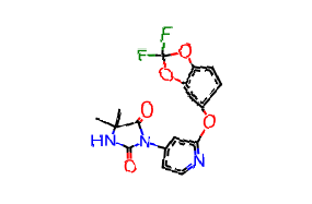 CC1(C)NC(=O)N(c2ccnc(Oc3ccc4c(c3)OC(F)(F)O4)c2)C1=O